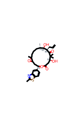 C=CC[C@H]1C(=O)C(C)(C)[C@@H](O)CC(=O)O[C@H](c2ccc3sc(C)nc3c2)CC2OC2(C)CCC[C@H](C)[C@H]1O